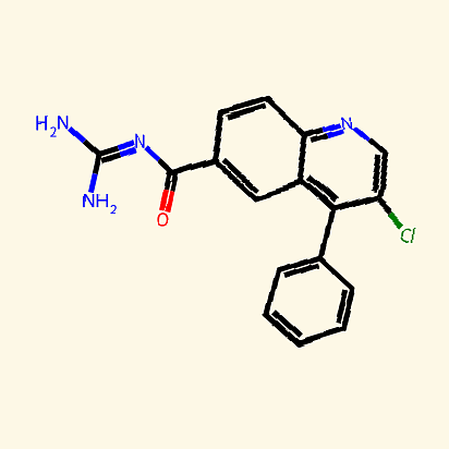 NC(N)=NC(=O)c1ccc2ncc(Cl)c(-c3ccccc3)c2c1